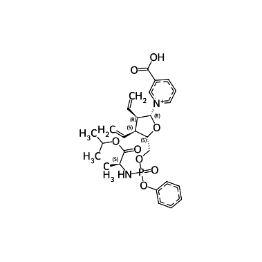 C=C[C@@H]1[C@H](C=C)[C@@H](COP(=O)(N[C@@H](C)C(=O)OC(C)C)Oc2ccccc2)O[C@H]1[n+]1cccc(C(=O)O)c1